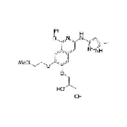 COCCOc1cc2c(OC(C)C)nc(Nc3cc(C)[nH]n3)cc2cc1OCC(O)CO